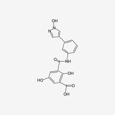 O=C(O)c1cc(O)cc(C(=O)Nc2cccc(-c3cnn(O)c3)c2)c1O